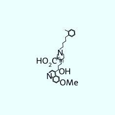 COc1ccc2nccc(C(O)CC[C@@H]3CCN(CCCCCc4ccccc4C)C[C@@H]3C(=O)O)c2c1